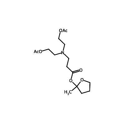 CC(=O)OCCN(CCOC(C)=O)CCC(=O)OC1(C)CCCO1